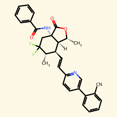 C[C@H]1OC(=O)[C@]2(NC(=O)c3ccccc3)CC(F)(F)[C@@H](C)[C@H](/C=C/c3ccc(-c4ccccc4C#N)cn3)[C@H]12